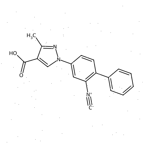 [C-]#[N+]c1cc(-n2cc(C(=O)O)c(C)n2)ccc1-c1ccccc1